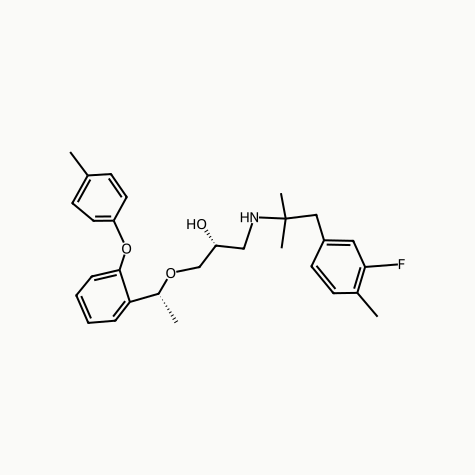 Cc1ccc(Oc2ccccc2[C@@H](C)OC[C@H](O)CNC(C)(C)Cc2ccc(C)c(F)c2)cc1